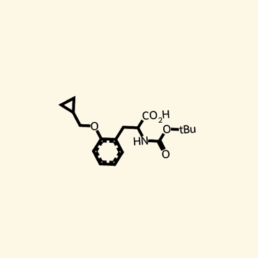 CC(C)(C)OC(=O)NC(Cc1ccccc1OCC1CC1)C(=O)O